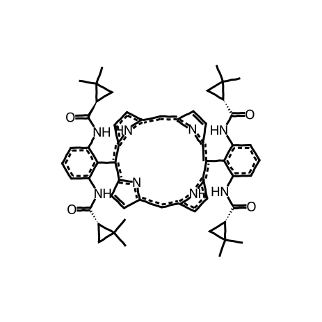 CC1(C)C[C@@H]1C(=O)Nc1cccc(NC(=O)[C@@H]2CC2(C)C)c1-c1c2nc(cc3ccc([nH]3)c(-c3c(NC(=O)[C@H]4CC4(C)C)cccc3NC(=O)[C@@H]3CC3(C)C)c3nc(cc4ccc1[nH]4)C=C3)C=C2